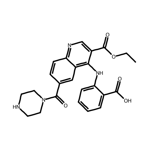 CCOC(=O)c1cnc2ccc(C(=O)N3CCNCC3)cc2c1Nc1ccccc1C(=O)O